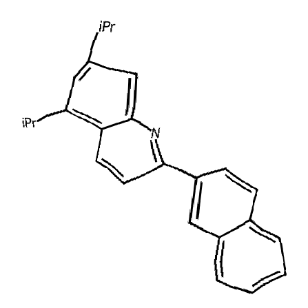 CC(C)c1cc(C(C)C)c2ccc(-c3ccc4ccccc4c3)nc2c1